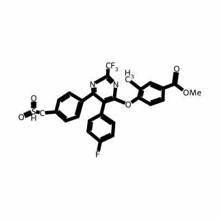 COC(=O)c1ccc(Oc2nc(C(F)(F)F)nc(-c3ccc(C[SH](=O)=O)cc3)c2-c2ccc(F)cc2)c(C)c1